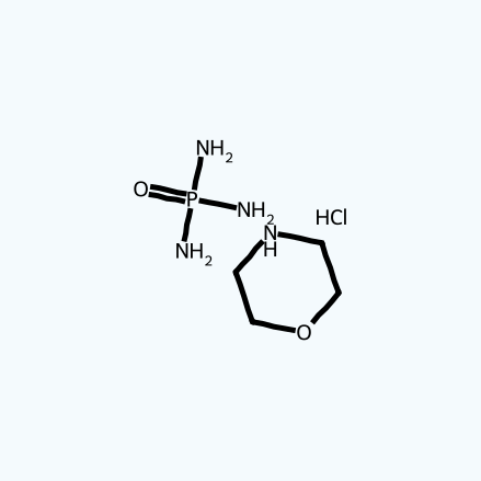 C1COCCN1.Cl.NP(N)(N)=O